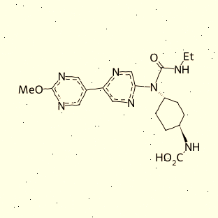 CCNC(=O)N(c1cnc(-c2cnc(OC)nc2)cn1)[C@H]1CC[C@H](NC(=O)O)CC1